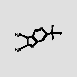 Cn1c(N)nc2cc(C(F)(F)F)ncc21